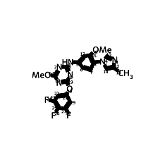 COc1nc(Nc2ccc(-n3cnc(C)c3)c(OC)c2)nc(Oc2cc(F)c(F)c(F)c2)n1